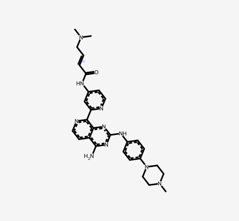 CN(C)C/C=C/C(=O)Nc1ccnc(-c2nccc3c(N)nc(Nc4ccc(N5CCN(C)CC5)cc4)nc23)c1